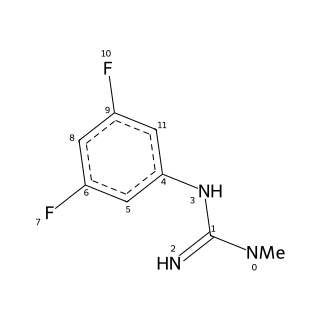 CNC(=N)Nc1cc(F)cc(F)c1